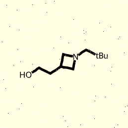 CC(C)(C)CN1CC(CCO)C1